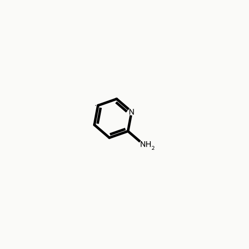 Nc1cc[c]cn1